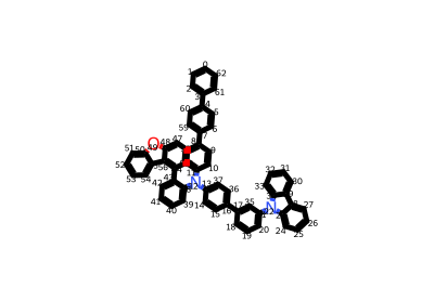 c1ccc(-c2ccc(-c3ccc(N(c4ccc(-c5cccc(-n6c7ccccc7c7ccccc76)c5)cc4)c4ccccc4-c4cccc5oc6ccccc6c45)cc3)cc2)cc1